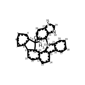 CC1(C)c2ccccc2-c2ccc3ccc4c5ccccc5n(-c5cccc6scnc56)c4c3c21